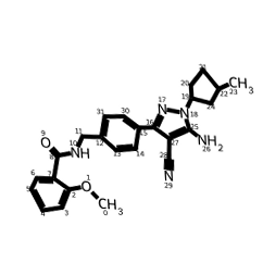 COc1ccccc1C(=O)NCc1ccc(-c2nn(C3CCC(C)C3)c(N)c2C#N)cc1